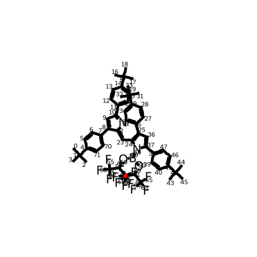 CC(C)(C)c1ccc(C2=CC(c3ccc(C(C)(C)C)cc3)=N/C2=C\c2c(-c3ccc(C(C)(C)C)cc3)cc(-c3ccc(C(C)(C)C)cc3)n2B(OC(C(F)(F)F)C(F)(F)F)OC(C(F)(F)F)C(F)(F)F)cc1